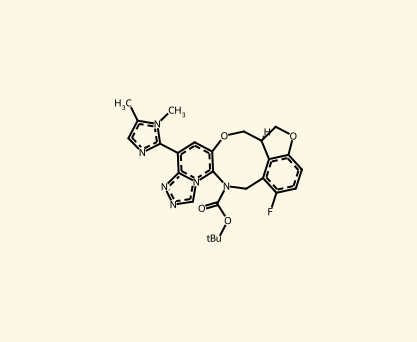 Cc1cnc(-c2cc3c(n4cnnc24)N(C(=O)OC(C)(C)C)Cc2c(F)ccc4c2[C@H](CO4)CO3)n1C